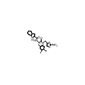 Nc1ncc(CNC(=O)[C@H](Cc2ccc(F)c(F)c2)NC(=O)c2cc3ccccc3[nH]2)s1